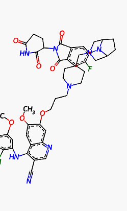 COc1cc(Nc2c(C#N)cnc3cc(OCCCN4CCC(CN5CC6CCC(C5)N6c5cc6c(cc5F)C(=O)N(C5CCC(=O)NC5=O)C6=O)CC4)c(OC)cc23)c(Cl)cc1Cl